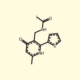 Cc1cc(=O)c(CNC(=O)I)c(-c2cccs2)[nH]1